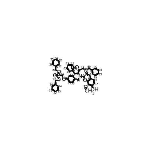 COc1cc(CN2C(=O)N(Cc3ccc(OCP(=O)(OCc4ccccc4)OCc4ccccc4)cc3)C(Cc3ccccc3)C(O)CN2Cc2ccccc2)ccc1O